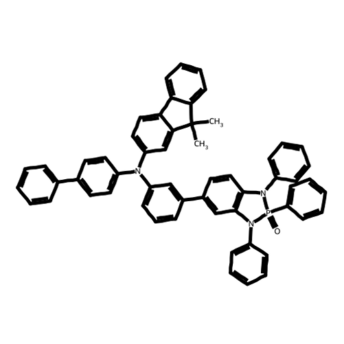 CC1(C)c2ccccc2-c2ccc(N(c3ccc(-c4ccccc4)cc3)c3cccc(-c4ccc5c(c4)N(c4ccccc4)P(=O)(c4ccccc4)N5c4ccccc4)c3)cc21